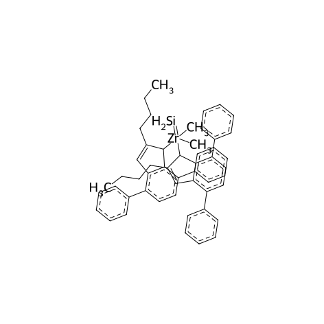 CCCCC1=Cc2c(-c3ccccc3)ccc(-c3ccccc3)c2[CH]1[Zr]([CH3])([CH3])(=[SiH2])[CH]1C(CCCC)=Cc2c(-c3ccccc3)ccc(-c3ccccc3)c21